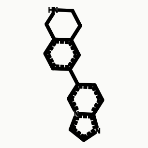 c1cn2cc(-c3ccc4c(c3)CCNC4)ccc2n1